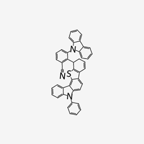 N#Cc1cccc(-n2c3ccccc3c3ccccc32)c1C1CC=Cc2c1sc1c2ccc2c1c1ccccc1n2-c1ccccc1